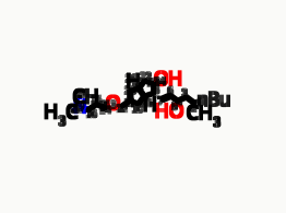 CCCC[C@H](C)C[C@H](O)/C=C/[C@@H]1[C@H]2CC(COCCCN(C)C)=C[C@H]2C[C@H]1O